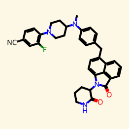 CN(c1ccc(Cc2ccc3c4c(cccc24)C(=O)N3C2CCCNC2=O)cc1)C1CCN(c2ccc(C#N)cc2F)CC1